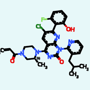 C=CC(=O)N1CCN(c2nc(=O)n(-c3ncccc3CC(C)C)c3nc(-c4c(O)cccc4F)c(Cl)cc23)[C@@H](C)C1